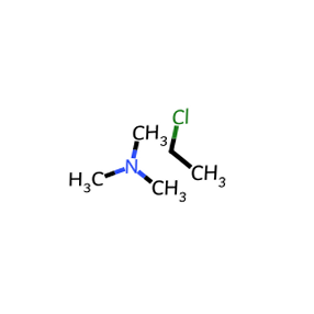 CCCl.CN(C)C